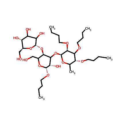 CCCCOC1[C@H](OCCCC)C(C)O[C@@H](OC2[C@H](O[C@@H]3O[C@@H](CO)[C@H](O)C(O)C3O)C(CO)O[C@@H](OCCCC)[C@H]2O)[C@H]1OCCCC